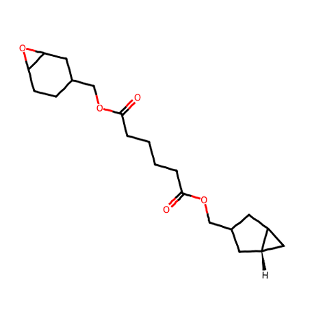 O=C(CCCCC(=O)OCC1CC2C[C@@H]2C1)OCC1CCC2OC2C1